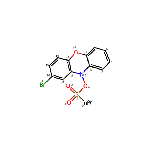 CCCS(=O)(=O)ON1c2ccccc2Oc2ccc(Br)cc21